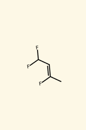 CC(F)=CC(F)F